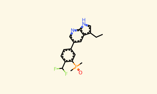 CCc1c[nH]c2ncc(-c3ccc(C(F)F)c(P(C)(C)=O)c3)cc12